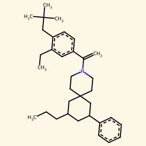 C=C(c1ccc(CC(C)(C)C)c(CC)c1)N1CCC2(CC1)CC(CCC)CC(c1ccccc1)C2